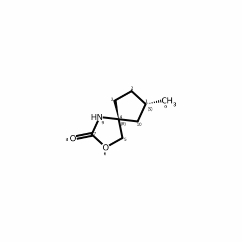 C[C@H]1CC[C@]2(COC(=O)N2)C1